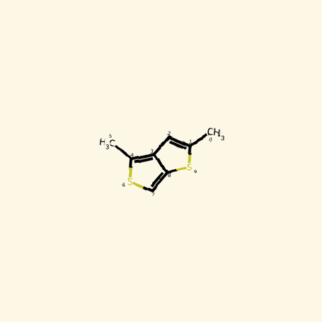 Cc1cc2c(C)scc2s1